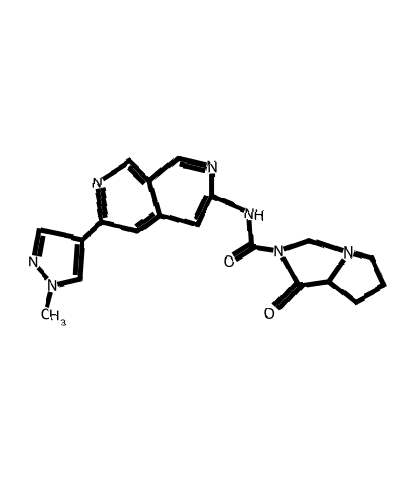 Cn1cc(-c2cc3cc(NC(=O)N4CN5CCCC5C4=O)ncc3cn2)cn1